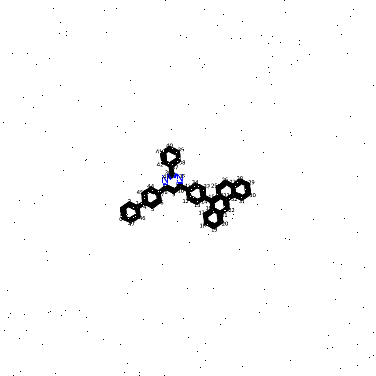 c1ccc(-c2ccc(-c3cc(-c4ccc(-c5c6ccccc6cc6c5ccc5ccccc56)cc4)nc(-c4ccccc4)n3)cc2)cc1